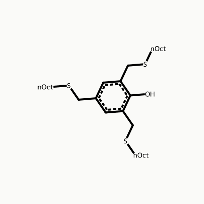 CCCCCCCCSCc1cc(CSCCCCCCCC)c(O)c(CSCCCCCCCC)c1